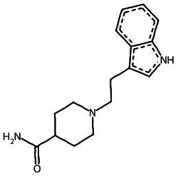 NC(=O)C1CCN(CCc2c[nH]c3ccccc23)CC1